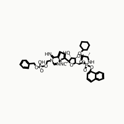 C[C@H](NP(=O)(OC[C@H]1O[C@@](C#N)(c2ccc3c(=N)n(COP(=O)(O)OCc4ccccc4)cnn23)[C@H](O)[C@@H]1O)Oc1cccc2ccccc12)C(=O)OC1CCCCC1